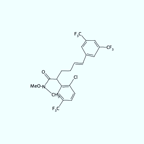 CON(C)C(=O)C(CCC=Cc1cc(C(F)(F)F)cc(C(F)(F)F)c1)c1cc(C(F)(F)F)ccc1Cl